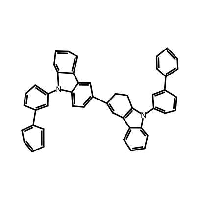 C1=C(c2ccc3c(c2)c2ccccc2n3-c2cccc(-c3ccccc3)c2)CCc2c1c1ccccc1n2-c1cccc(-c2ccccc2)c1